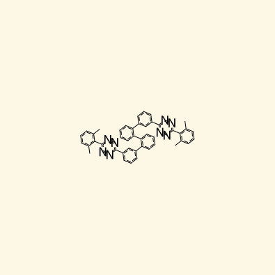 Cc1cccc(C)c1-c1nnc(-c2cccc(-c3ccccc3-c3ccccc3-c3cccc(-c4nnc(-c5c(C)cccc5C)nn4)c3)c2)nn1